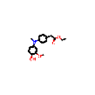 CCOC(=O)Cc1ccc(N(C)c2ccc(O)c(OC)c2)cc1